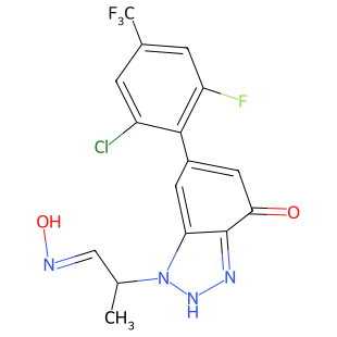 CC(C=NO)n1[nH]nc2c(=O)cc(-c3c(F)cc(C(F)(F)F)cc3Cl)cc1-2